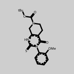 COc1ccccc1-n1c(=S)[nH]c2c(c1=O)CCN(C(=O)OC(C)(C)C)C2